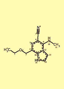 CCOCc1nc(C#N)c(NC)c2cc[nH]c12